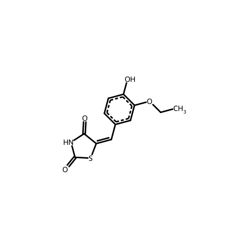 CCOc1cc(/C=C2/SC(=O)NC2=O)ccc1O